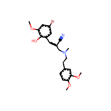 COc1ccc(CCN(C)CC(C#N)=Cc2cc(Br)cc(OC)c2O)cc1OC